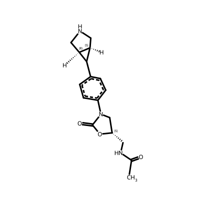 CC(=O)NC[C@H]1CN(c2ccc(C3[C@H]4CNC[C@@H]34)cc2)C(=O)O1